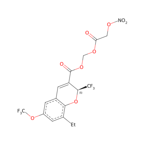 CCc1cc(OC(F)(F)F)cc2c1O[C@H](C(F)(F)F)C(C(=O)OCOC(=O)CO[N+](=O)[O-])=C2